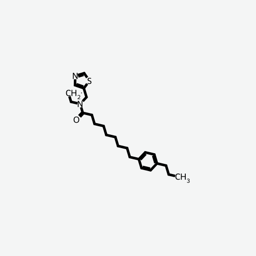 [CH2]CN(Cc1cncs1)C(=O)CCCCCCCCc1ccc(CCC)cc1